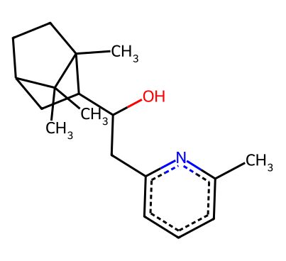 Cc1cccc(CC(O)C2CC3CCC2(C)C3(C)C)n1